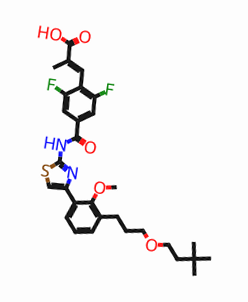 COc1c(CCCOCCC(C)(C)C)cccc1-c1csc(NC(=O)c2cc(F)c(C=C(C)C(=O)O)c(F)c2)n1